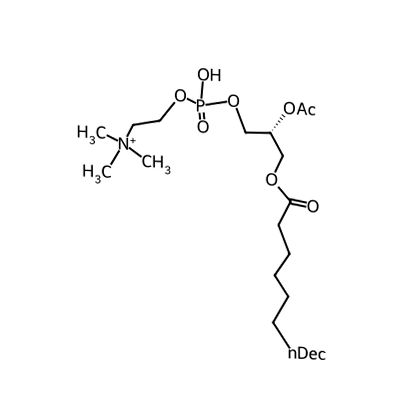 CCCCCCCCCCCCCCCC(=O)OC[C@H](COP(=O)(O)OCC[N+](C)(C)C)OC(C)=O